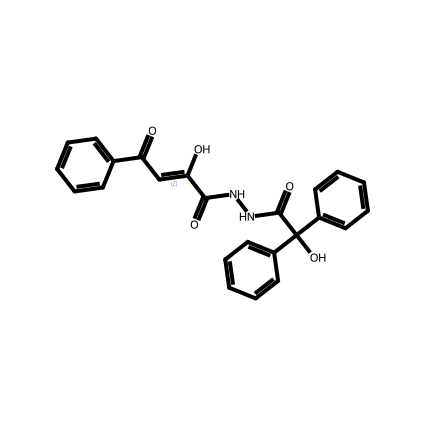 O=C(NNC(=O)C(O)(c1ccccc1)c1ccccc1)/C(O)=C/C(=O)c1ccccc1